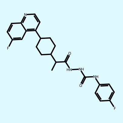 CC(C(=O)NNC(=O)Nc1ccc(F)cc1)C1CCC(c2ccnc3ccc(F)cc23)CC1